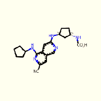 N#Cc1cc2cnc(N[C@H]3CC[C@H](NC(=O)O)C3)cc2c(NC2CCCC2)n1